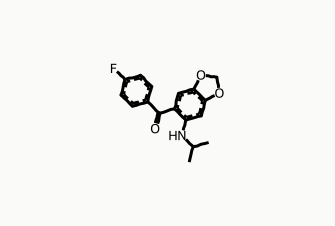 CC(C)Nc1cc2c(cc1C(=O)c1ccc(F)cc1)OCO2